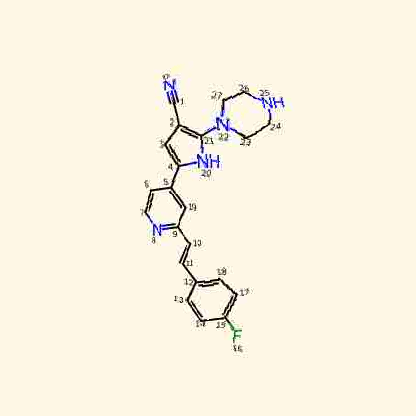 N#Cc1cc(-c2ccnc(/C=C/c3ccc(F)cc3)c2)[nH]c1N1CCNCC1